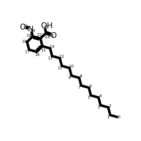 CCCCCCCCCCCCCCCC1=CCCC(N=O)=C1C(=O)O